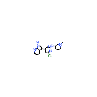 CN1CCCC(Nc2cc(-c3c[nH]c4ncccc34)cc(Cl)n2)C1